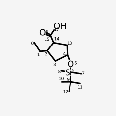 CCC1CC(O[Si](C)(C)C(C)(C)C)CC1C(=O)O